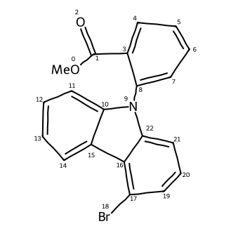 COC(=O)c1ccccc1-n1c2ccccc2c2c(Br)cccc21